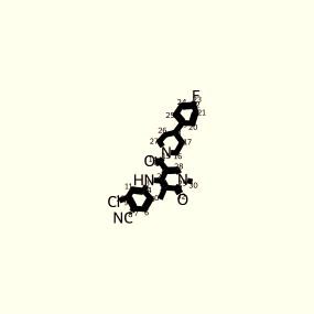 Cc1c(Nc2ccc(C#N)c(Cl)c2)c(C(=O)N2CCC(c3ccc(F)cc3)CC2)cn(C)c1=O